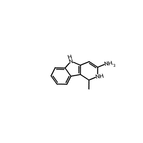 CC1NC(N)=Cc2[nH]c3ccccc3c21